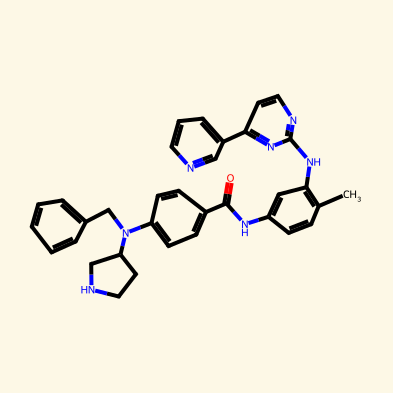 Cc1ccc(NC(=O)c2ccc(N(Cc3ccccc3)C3CCNC3)cc2)cc1Nc1nccc(-c2cccnc2)n1